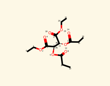 CCOC(=O)[C@H](OC(=O)CC)[C@@H](OC(=O)CC)C(=O)OCC